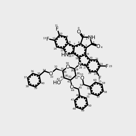 O=C1NC(=O)c2c1c1c3cc(F)c(F)cc3[nH]c1c1c2c2cc(F)c(F)cc2n1[C@@H]1O[C@H](COCc2ccccc2)[C@@H](O)[C@H](OCc2ccccc2)[C@H]1OCc1ccccc1